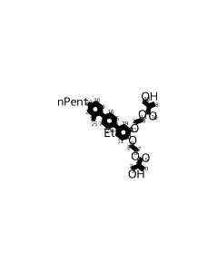 C=C(CO)C(=O)OCCOc1ccc(-c2ccc(-c3ccc(CCCCC)cc3C)cc2CC)cc1OCCOC(=O)C(=C)CO